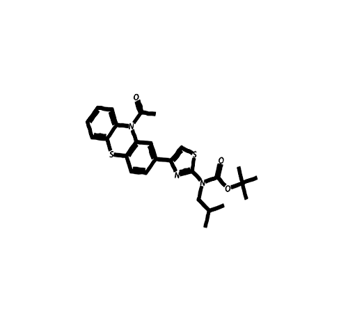 CC(=O)N1c2ccccc2Sc2ccc(-c3csc(N(CC(C)C)C(=O)OC(C)(C)C)n3)cc21